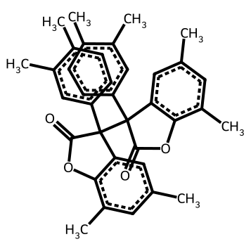 Cc1cc(C)c2c(c1)C(c1ccc(C)c(C)c1)(C1(c3ccc(C)c(C)c3)C(=O)Oc3c(C)cc(C)cc31)C(=O)O2